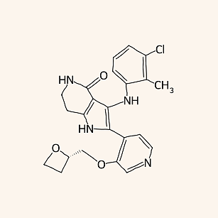 Cc1c(Cl)cccc1Nc1c(-c2ccncc2OC[C@@H]2CCO2)[nH]c2c1C(=O)NCC2